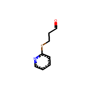 O=CCCSc1ccccn1